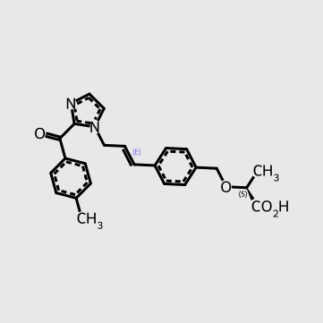 Cc1ccc(C(=O)c2nccn2C/C=C/c2ccc(CO[C@@H](C)C(=O)O)cc2)cc1